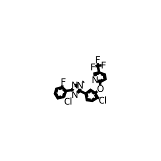 Cn1nc(-c2c(F)cccc2Cl)nc1-c1ccc(Cl)c(Oc2ccc(C(F)(F)F)cn2)c1